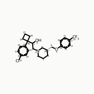 OC(CN1CCC[C@@H](COc2ccc(C(F)(F)F)cc2)C1)C1(c2ccc(Cl)cc2)CCC1